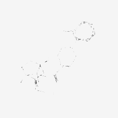 Cc1ccccc1N1CCN(C(=O)[C@@H]2/C(=N\O)[C@]3(C)CC[C@H]2C3(C)C)CC1